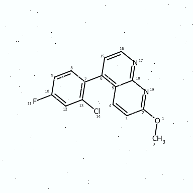 COc1ccc2c(-c3ccc(F)cc3Cl)ccnc2n1